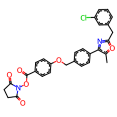 Cc1oc(Cc2cccc(Cl)c2)nc1-c1ccc(COc2ccc(C(=O)ON3C(=O)CCC3=O)cc2)cc1